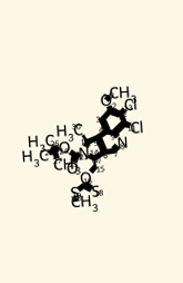 COc1cc2c3c(cnc2c(Cl)c1Cl)[C@@H](COC(=S)SC)N(C(=O)OC(C)(C)C)[C@H]3C